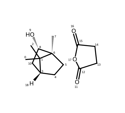 CC1(C)[C@@H]2CC[C@]1(C)[C@@H](O)C2.O=C1CCC(=O)O1